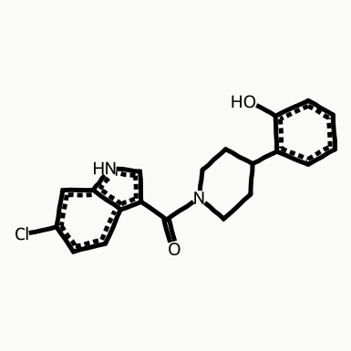 O=C(c1c[nH]c2cc(Cl)ccc12)N1CCC(c2ccccc2O)CC1